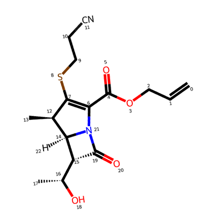 C=CCOC(=O)C1=C(SCCC#N)[C@H](C)[C@@H]2[C@@H]([C@@H](C)O)C(=O)N12